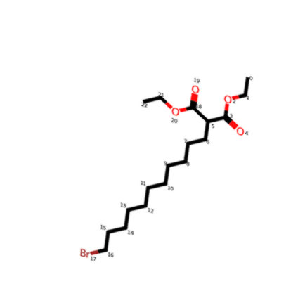 CCOC(=O)C(CCCCCCCCCCCBr)C(=O)OCC